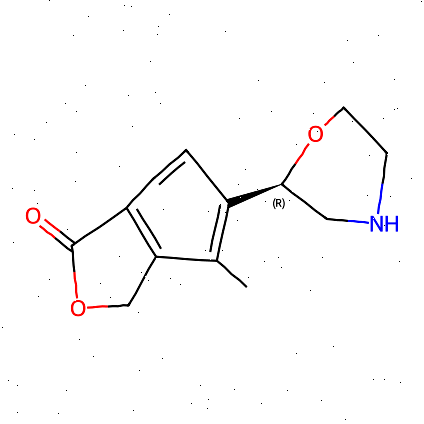 Cc1c([C@@H]2CNCCO2)ccc2c1COC2=O